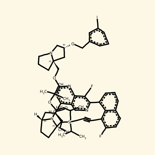 CC(C)[Si](C#Cc1c(F)ccc2cccc(-c3ncc4c(N5C[C@H]6CC[C@@H](C5)N6C(=O)OC(C)(C)C)nc(OC[C@@]56CCCN5C[C@H](OCc5cccc(I)c5)C6)nc4c3F)c12)(C(C)C)C(C)C